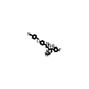 C[C@@H](c1cc(-c2ccc(OCc3ccc(C#N)cc3)cc2)no1)[C@](O)(Cn1cnnn1)c1ccc(F)cc1F